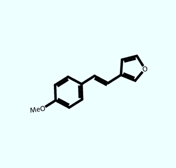 COc1ccc(/C=C/c2ccoc2)cc1